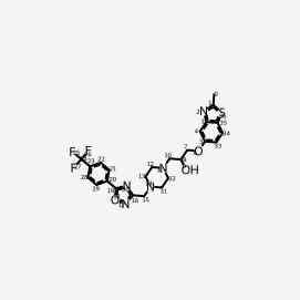 Cc1nc2cc(OCC(O)CN3CCN(Cc4noc(-c5ccc(C(F)(F)F)cc5)n4)CC3)ccc2s1